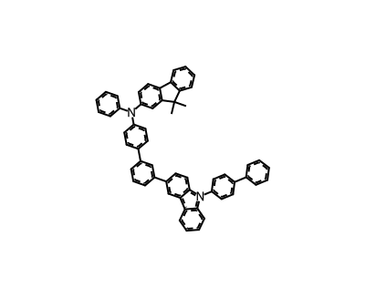 CC1(C)c2ccccc2-c2ccc(N(c3ccccc3)c3ccc(-c4cccc(-c5ccc6c(c5)c5ccccc5n6-c5ccc(-c6ccccc6)cc5)c4)cc3)cc21